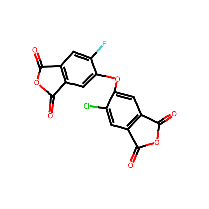 O=C1OC(=O)c2cc(Oc3cc4c(cc3Cl)C(=O)OC4=O)c(F)cc21